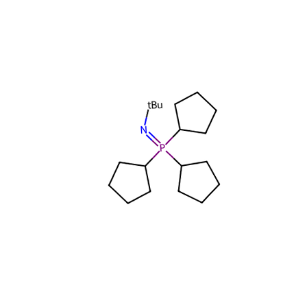 CC(C)(C)N=P(C1CCCC1)(C1CCCC1)C1CCCC1